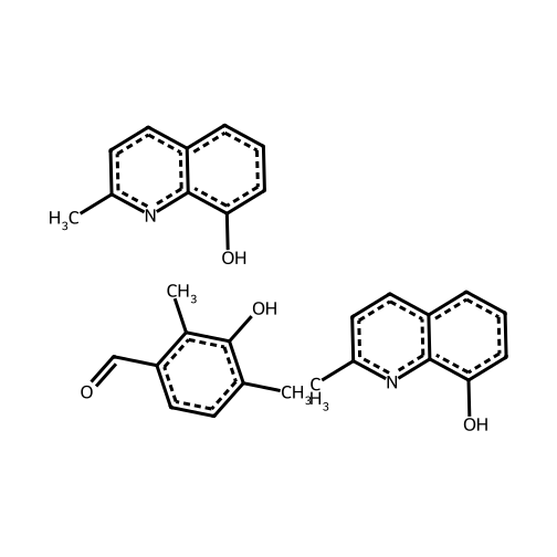 Cc1ccc(C=O)c(C)c1O.Cc1ccc2cccc(O)c2n1.Cc1ccc2cccc(O)c2n1